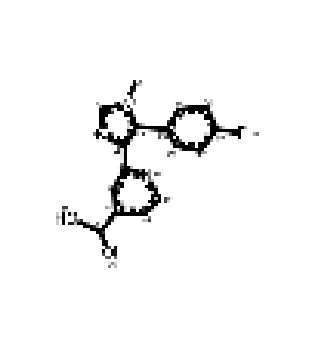 Cn1cnc(-c2cc(C(O)O)ccn2)c1-c1ccc(F)cc1